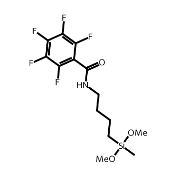 CO[Si](C)(CCCCNC(=O)c1c(F)c(F)c(F)c(F)c1F)OC